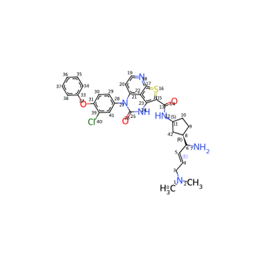 CN(C)C/C=C/C(N)[C@@H]1CC[C@H](NC(=O)c2sc3nccc4c3c2NC(=O)N4c2ccc(Oc3ccccc3)c(Cl)c2)C1